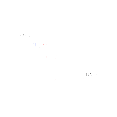 CNOCCC(C)(C)C1=CC(=O)c2c(OCC(=O)NCSC)cccc2C1=O